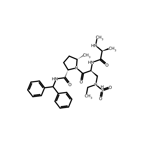 CCN(C[C@H](NC(=O)[C@H](C)NC)C(=O)N1[C@@H](C)CC[C@H]1C(=O)NC(c1ccccc1)c1ccccc1)[SH](=O)=O